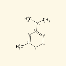 CC1=CC(N(C)C)=CCC1